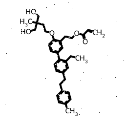 C=CC(=O)OCCc1cc(-c2ccc(CCc3ccc(C)cc3)cc2CC)ccc1OCCC(C)(CO)CO